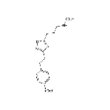 CCCCCCCCc1ccc(CCc2noc(CCCNC(=O)O)n2)cc1